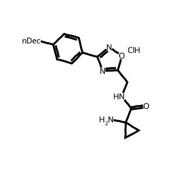 CCCCCCCCCCc1ccc(-c2noc(CNC(=O)C3(N)CC3)n2)cc1.Cl